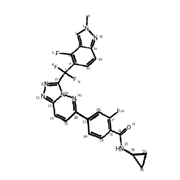 Cn1cc2c(F)c(C(F)(F)c3nnc4ccc(-c5ccc(C(=O)NC6CC6)c(F)c5)nn34)ccc2n1